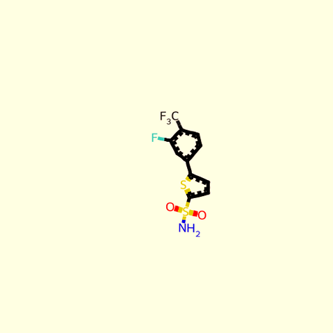 NS(=O)(=O)c1ccc(-c2ccc(C(F)(F)F)c(F)c2)s1